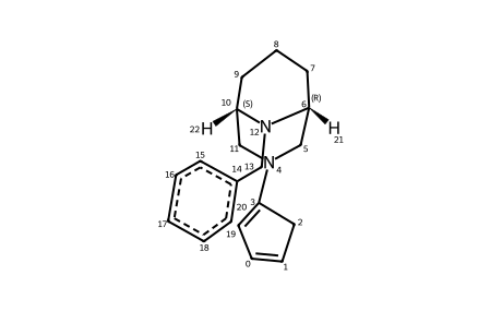 C1=CCC(N2C[C@H]3CCC[C@@H](C2)N3Cc2ccccc2)=C1